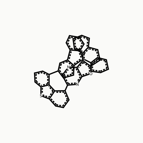 c1ccc(-n2c3ccccc3c3cc(-c4cccc5sc6cccc(-c7cnc8c(n7)oc7ccc9ccccc9c78)c6c45)ccc32)cc1